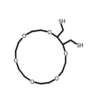 SCC1OCCOCCOCCOCCOCCOC1CS